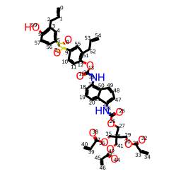 C=CCc1cc(S(=O)(=O)c2ccc(OC(=O)Nc3cccc4c(NC(=O)OCC(COC(=O)C=C)(COC(=O)C=C)COC(=O)C=C)cccc34)c(CC=C)c2)ccc1O